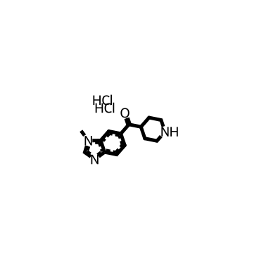 Cl.Cl.Cn1cnc2ccc(C(=O)C3CCNCC3)cc21